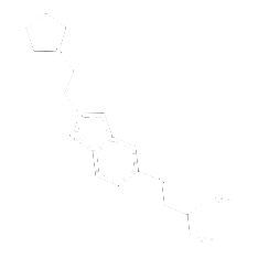 COC(CNc1ccc2nn(CCN3CCCC3)cc2c1)OC